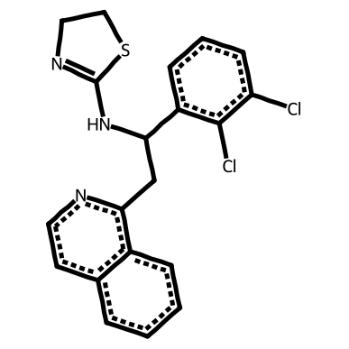 Clc1cccc(C(Cc2nccc3ccccc23)NC2=NCCS2)c1Cl